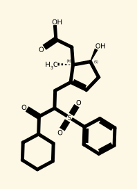 C[C@@]1(CC(=O)O)C(CC(C(=O)C2CCCCC2)S(=O)(=O)c2ccccc2)=CC[C@@H]1O